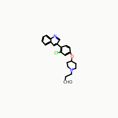 O=CCCN1CCC(Oc2ccc(-c3cnc4ccccc4c3)c(Cl)c2)CC1